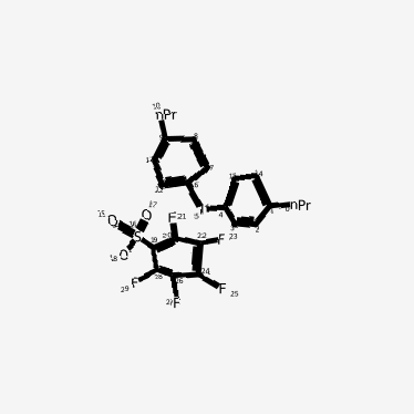 CCCc1ccc([I+]c2ccc(CCC)cc2)cc1.O=S(=O)([O-])c1c(F)c(F)c(F)c(F)c1F